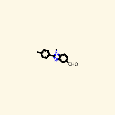 Cc1ccc(-c2nc3cc(C=O)ccc3n2C)cc1